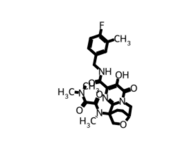 Cc1cc(CNC(=O)c2nc3n(c(=O)c2O)CC2CCC3(N(C)C(=O)C(=O)N(C)C)CO2)ccc1F